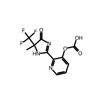 CC1(C(F)(F)F)NC(c2ncccc2OC(=O)O)=NC1=O